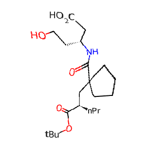 CCC[C@H](CC1(C(=O)N[C@H](CCO)CC(=O)O)CCCC1)C(=O)OC(C)(C)C